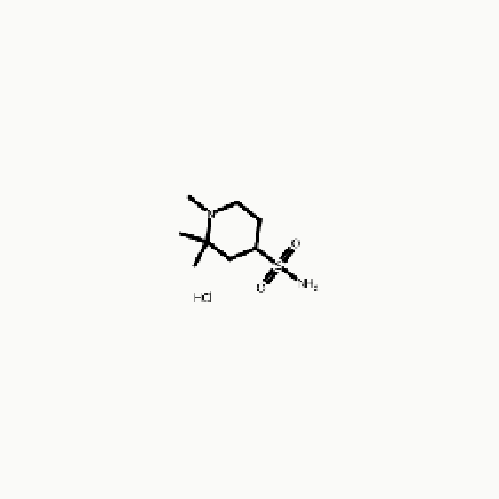 CN1CCC(S(N)(=O)=O)CC1(C)C.Cl